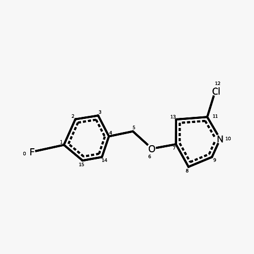 Fc1ccc(COc2ccnc(Cl)c2)cc1